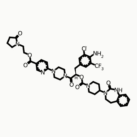 Nc1c(Cl)cc(C[C@@H](OC(=O)N2CCC(N3CCc4ccccc4NC3=O)CC2)C(=O)N2CCN(c3ccc(C(=O)OCCN4CCCC4=O)cn3)CC2)cc1C(F)(F)F